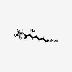 CCCCCCCCCCCCCCCC(=O)NS(=O)(=O)[O-].[Na+]